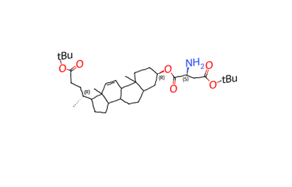 C[C@H](CCC(=O)OC(C)(C)C)C1CCC2C3CCC4C[C@H](OC(=O)[C@@H](N)CC(=O)OC(C)(C)C)CCC4(C)C3C=CC21C